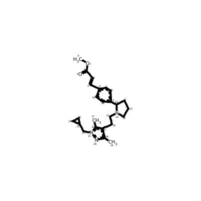 COC(=O)/C=C/c1ccc(C2CCCN2CCc2c(C)nn(CC3CC3)c2C)cc1